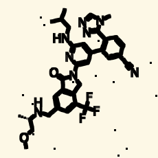 COC[C@H](C)NCc1cc2c(c(C(F)(F)F)c1)CN(c1cc(-c3cc(C#N)ccc3-c3nncn3C)cc(NCC(C)C)n1)C2=O